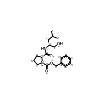 CC(C)C[C@@H](CO)NC(=O)[C@@H]1CCCN1C(=O)OCc1ccccc1